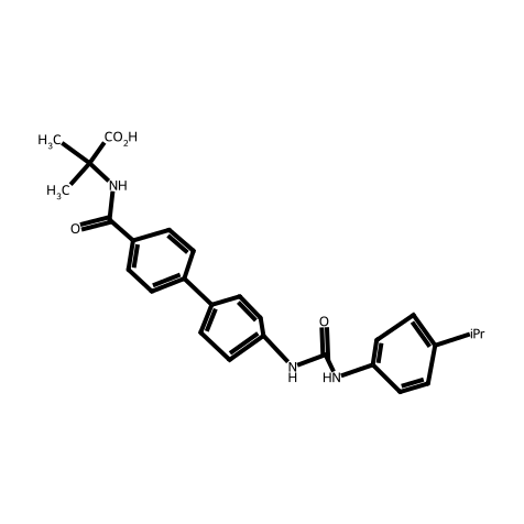 CC(C)c1ccc(NC(=O)Nc2ccc(-c3ccc(C(=O)NC(C)(C)C(=O)O)cc3)cc2)cc1